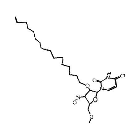 CCCCCCCCCCCCCCCCOC1C(N=O)C(COC)OC1n1ccc(=O)[nH]c1=O